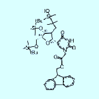 CC(C)(CC1[C@@H](O[Si](C)(C)C(C)(C)C)[C@@H](CO[Si](C)(C)C(C)(C)C)O[C@H]1c1cn(CC(=O)OCC2c3ccccc3-c3ccccc32)c(=O)[nH]c1=O)[Si](C)(C)O